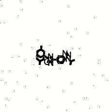 CC1CC2CC(C)CC(c3nc(-c4ccc5c(c4)nnn5C(C)C)no3)(C1)C2